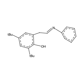 CC(C)(C)c1cc(CC=Nc2ccccc2)c(O)c(C(C)(C)C)c1